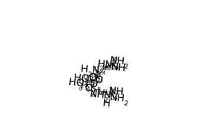 CC(O)C(OC(=O)C(N)CCCNC(=N)N)C(O)COC(=O)C(N)CCCNC(=N)N